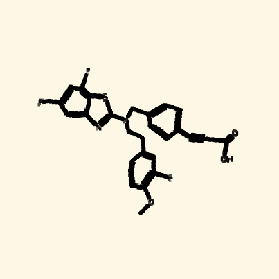 COc1ccc(CCN(Cc2ccc(C#CC(=O)O)cc2)c2nc3cc(F)cc(F)c3s2)cc1F